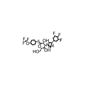 OCC1O[C@H](Sc2ccc(OC(F)(F)F)cc2)C(O)C(n2cc(-c3cc(F)c(F)c(F)c3)nn2)[C@H]1O